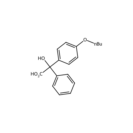 CCCCOc1ccc(C(O)(C(=O)O)c2ccccc2)cc1